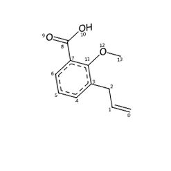 C=CCc1cccc(C(=O)O)c1OC